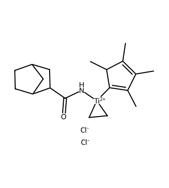 CC1=C(C)C(C)[C]([Ti+2]2([NH]C(=O)C3CC4CCC3C4)[CH2][CH2]2)=C1C.[Cl-].[Cl-]